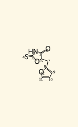 O=C1NC(=S)OC1Cc1ccco1